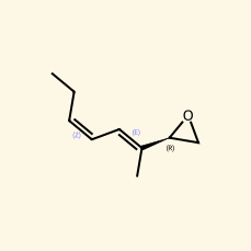 CC/C=C\C=C(/C)[C@@H]1CO1